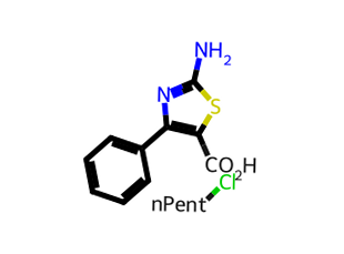 CCCCCCl.Nc1nc(-c2ccccc2)c(C(=O)O)s1